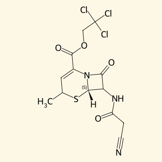 CC1C=C(C(=O)OCC(Cl)(Cl)Cl)N2C(=O)C(NC(=O)CC#N)[C@@H]2S1